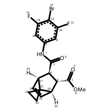 COC(=O)[C@H]1[C@H](C(=O)Nc2cc(F)c(Br)c(F)c2)[C@@H]2C=C[C@H]1C21CC1